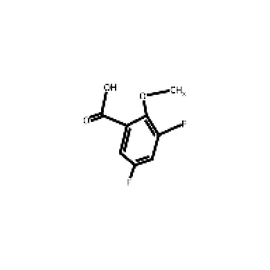 COc1c(F)cc(F)cc1C(=O)O